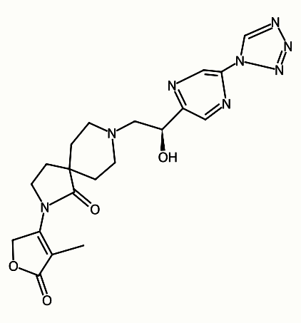 CC1=C(N2CCC3(CCN(C[C@H](O)c4cnc(-n5cnnn5)cn4)CC3)C2=O)COC1=O